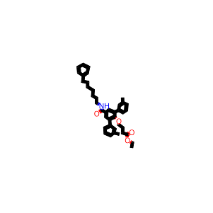 CCOC(=O)CCCOc1c(-c2cccc(C)c2)cc(C(=O)NCCCCCCCc2ccccc2)cc1-c1cccc(C)c1